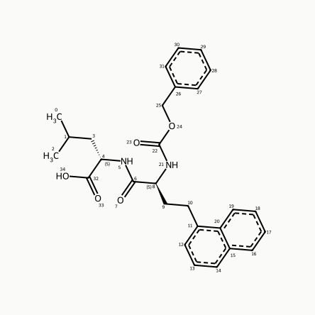 CC(C)C[C@H](NC(=O)[C@H](CCc1cccc2ccccc12)NC(=O)OCc1ccccc1)C(=O)O